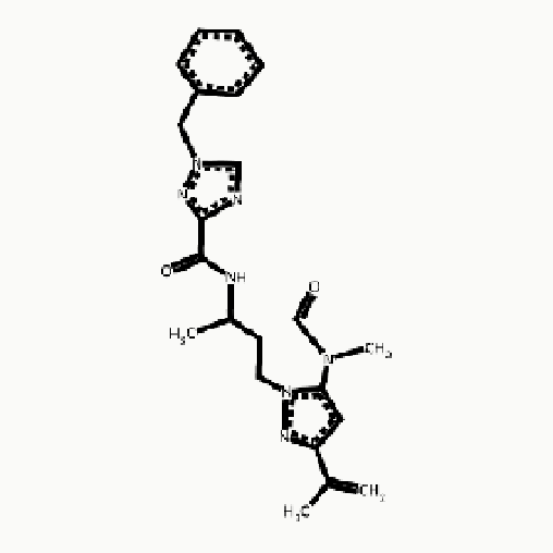 C=C(C)c1cc(N(C)C=O)n(CCC(C)NC(=O)c2ncn(Cc3ccccc3)n2)n1